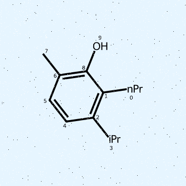 CCCc1c(C(C)C)ccc(C)c1O